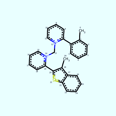 Cc1ccccc1-c1cccc[n+]1C[n+]1ccccc1-c1sc2ccccc2c1C